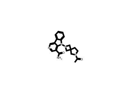 CC(=O)N1CCC2(C1)CN(n1c3ccccc3c3cncc(C(N)=O)c31)C2